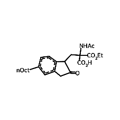 CCCCCCCCc1ccc2c(c1)CC(=O)C2CC(NC(C)=O)(C(=O)O)C(=O)OCC